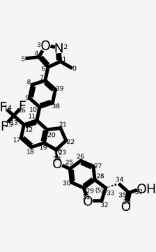 Cc1noc(C)c1-c1ccc(-c2c(C(F)(F)F)ccc3c2CC[C@H]3Oc2ccc3c(c2)OC[C@H]3CC(=O)O)cc1